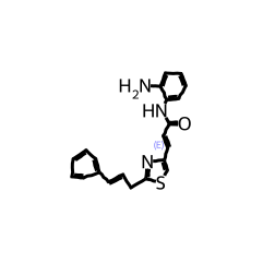 Nc1ccccc1NC(=O)/C=C/c1csc(CC=Cc2ccccc2)n1